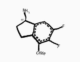 COc1c(F)c(F)cc2c1CC[C@H]2N